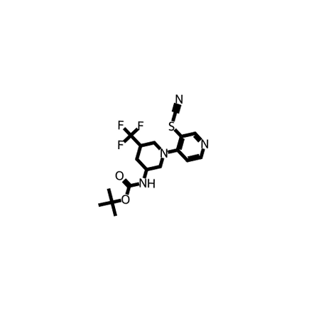 CC(C)(C)OC(=O)NC1CC(C(F)(F)F)CN(c2ccncc2SC#N)C1